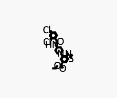 CCOC(=O)c1cc(N2CCC(NC(=O)c3ccc(Cl)cc3Cl)CC2)c2ncsc2c1